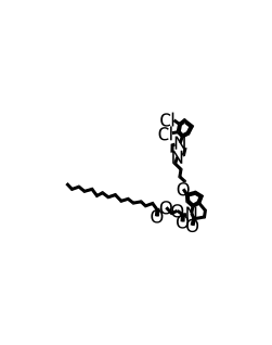 CCCCCCCCCCCCCCCC(=O)OCOC(=O)N1C(=O)CCc2ccc(OCCCCN3CCN(c4cccc(Cl)c4Cl)CC3)cc21